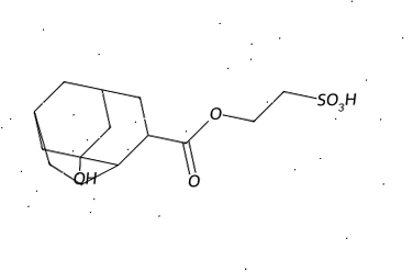 O=C(OCCS(=O)(=O)O)C1CC2CC3CCC1C(O)(C3)C2